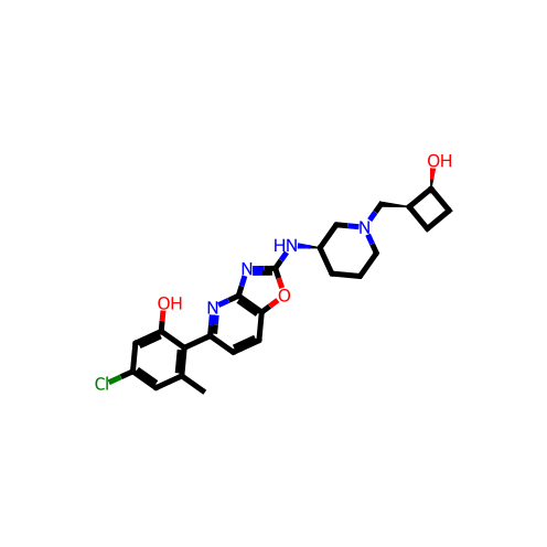 Cc1cc(Cl)cc(O)c1-c1ccc2oc(N[C@@H]3CCCN(C[C@@H]4CC[C@@H]4O)C3)nc2n1